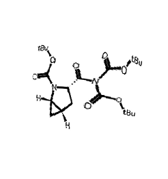 CC(C)(C)OC(=O)N(C(=O)OC(C)(C)C)C(=O)[C@@H]1C[C@@H]2C[C@@H]2N1C(=O)OC(C)(C)C